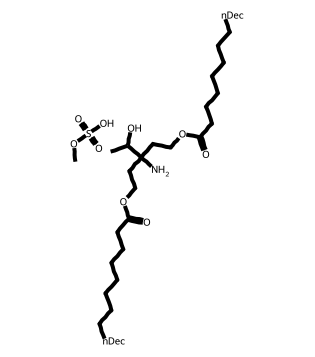 CCCCCCCCCCCCCCCCCC(=O)OCCC(N)(CCOC(=O)CCCCCCCCCCCCCCCCC)C(C)O.COS(=O)(=O)O